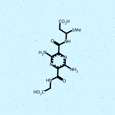 CSC(CC(=O)O)NC(=O)c1nc(N)c(C(=O)NCC(=O)O)nc1N